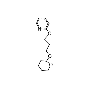 c1ccc(OCCCOC2CCCCO2)nc1